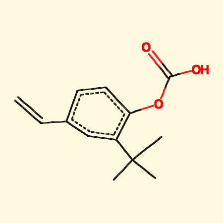 C=Cc1ccc(OC(=O)O)c(C(C)(C)C)c1